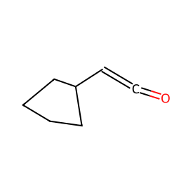 O=C=CC1CCCC1